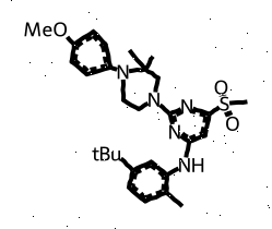 COc1ccc(N2CCN(c3nc(Nc4cc(C(C)(C)C)ccc4C)cc(S(C)(=O)=O)n3)CC2(C)C)cc1